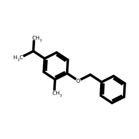 Cc1cc(C(C)C)ccc1OCc1ccccc1